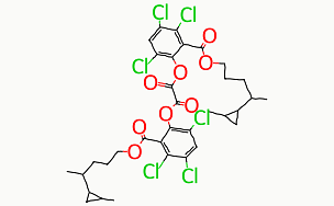 CC(CCCOC(=O)c1c(Cl)c(Cl)cc(Cl)c1OC(=O)C(=O)Oc1c(Cl)cc(Cl)c(Cl)c1C(=O)OCCCC(C)C1CC1C)C1CC1C